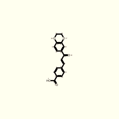 O=C(O)c1ccc(C=CC(=O)c2ccc3c(c2)OCCO3)cc1